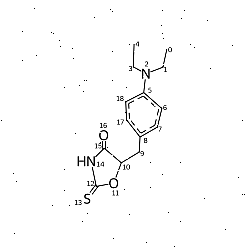 CCN(CC)c1ccc(CC2OC(=S)NC2=O)cc1